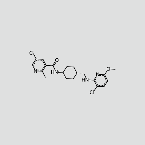 COc1ccc(Cl)c(NC[C@H]2CC[C@H](NC(=O)c3cc(Cl)cnc3C)CC2)n1